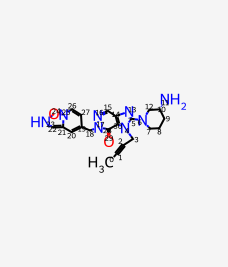 CC#CCn1c(N2CCC[C@@H](N)C2)nc2cnn(CC3=CC4=CNON4C=C3)c(=O)c21